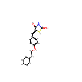 O=C1NC(=O)C(=Cc2ccc(OCCC3CCCCC3)cc2)S1